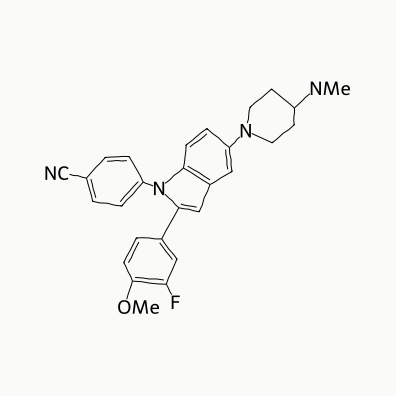 CNC1CCN(c2ccc3c(c2)cc(-c2ccc(OC)c(F)c2)n3-c2ccc(C#N)cc2)CC1